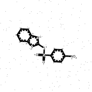 O=[N+]([O-])c1ccc(S(=O)(=O)Sc2nc3ccccc3s2)cc1